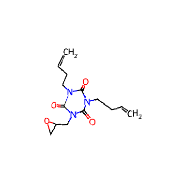 C=CCCn1c(=O)n(CCC=C)c(=O)n(CC2CO2)c1=O